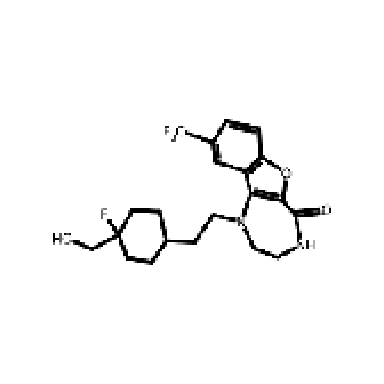 O=C1NCCN(CCC2CCC(F)(CO)CC2)c2c1oc1ccc(C(F)(F)F)cc21